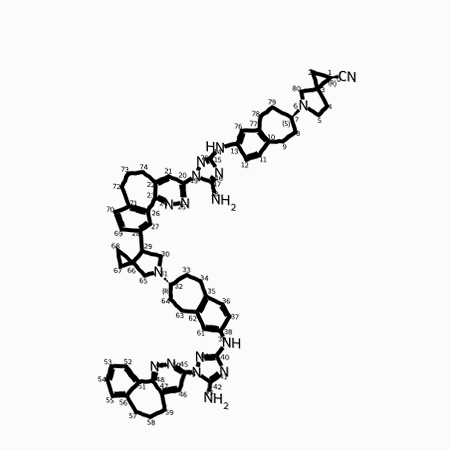 N#C[C@@H]1CC12CCN([C@H]1CCc3ccc(Nc4nc(N)n(-c5cc6c(nn5)-c5cc(C7CN([C@@H]8CCc9ccc(Nc%10nc(N)n(-c%11cc%12c(nn%11)-c%11ccccc%11CCC%12)n%10)cc9CC8)CC78CC8)ccc5CCC6)n4)cc3CC1)C2